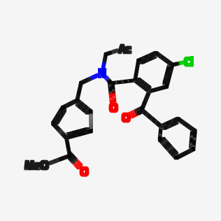 COC(=O)c1ccc(CN(CC(C)=O)C(=O)c2ccc(Cl)cc2C(=O)c2ccccc2)cc1